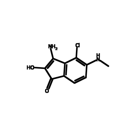 CNc1ccc2c(c1Cl)C(N)=C(O)C2=O